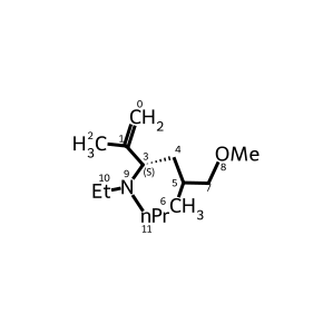 C=C(C)[C@H](CC(C)COC)N(CC)CCC